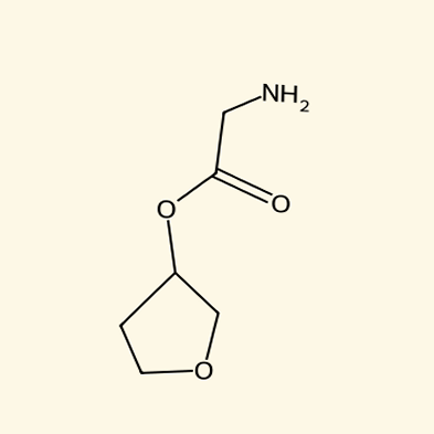 NCC(=O)OC1CCOC1